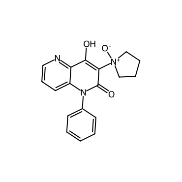 O=c1c([N+]2([O-])CCCC2)c(O)c2ncccc2n1-c1ccccc1